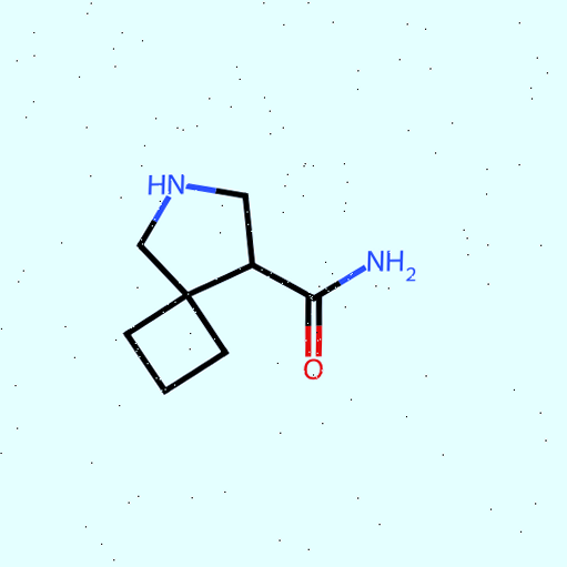 NC(=O)C1CNCC12CCC2